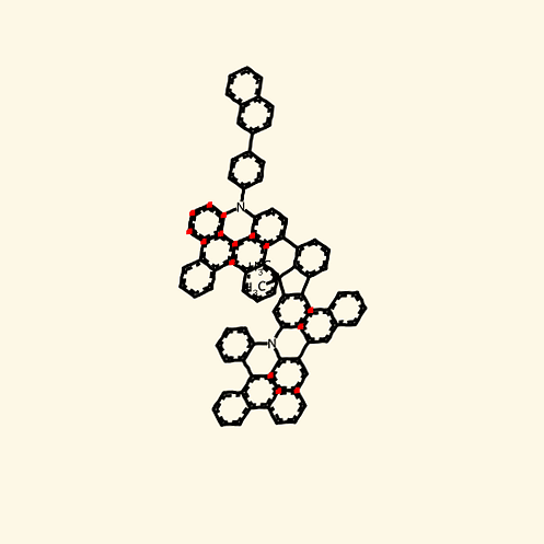 CC1(C)c2cc(N(c3ccccc3-c3ccc4ccccc4c3)c3ccccc3-c3cc4ccccc4c4ccccc34)ccc2-c2cccc(-c3ccc(N(c4ccc(-c5ccc6ccccc6c5)cc4)c4ccccc4-c4ccc5ccccc5c4)c(-c4cc5ccccc5c5ccccc45)c3)c21